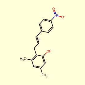 Cc1cc(C)c(C/C=C/c2ccc([N+](=O)[O-])cc2)c(O)c1